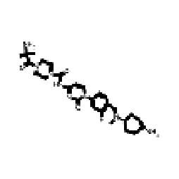 CN(Cc1ccc(-n2ccc(NC(=O)N3CCN(C(=O)C(C)(C)N)CC3)nc2=O)cc1F)[C@H]1CC[C@H](N)CC1